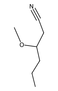 CCCC(CC#N)OC